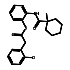 CC1(C(=O)Nc2ccccc2SC(=O)Cc2ccccc2Cl)CCCCC1